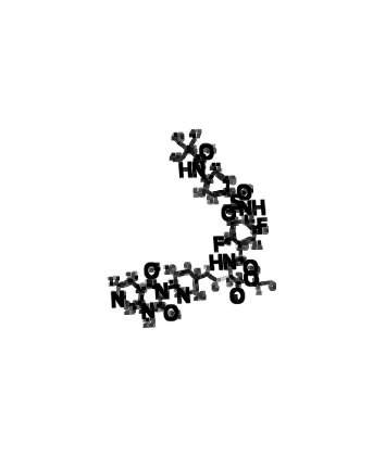 CCOC(=O)[C@H](CCc1ccc(-n2c(=O)c3ccncc3n(C)c2=O)nc1)NC(=O)c1cc(F)c(NS(=O)(=O)c2ccc(NC(=O)C(C)(C)C)cc2)cc1F